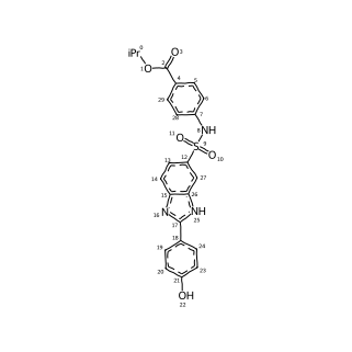 CC(C)OC(=O)c1ccc(NS(=O)(=O)c2ccc3nc(-c4ccc(O)cc4)[nH]c3c2)cc1